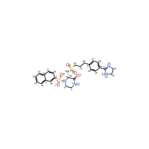 O=C1NCCN(S(=O)(=O)c2ccc3ccccc3c2)[C@@H]1CS(=O)(=O)CCCc1ccc(C2=NCCN2)cc1